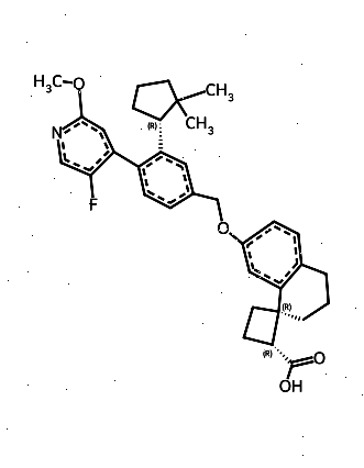 COc1cc(-c2ccc(COc3ccc4c(c3)[C@]3(CCC4)CC[C@H]3C(=O)O)cc2[C@@H]2CCCC2(C)C)c(F)cn1